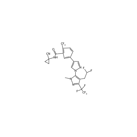 Cn1nc(C(F)(F)C(F)(F)F)c(CC(F)F)c1-n1cc(-c2ccc(C(F)(F)F)c(C(=O)NC3(C#N)CC3)c2)cn1